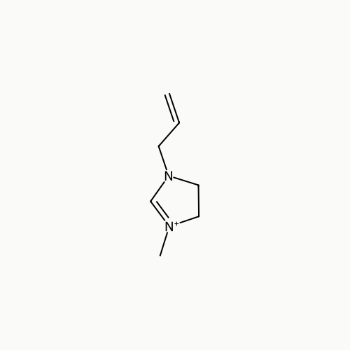 C=CCN1C=[N+](C)CC1